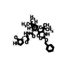 CC(C)(C)[C@H](NC(=O)OCc1ccccc1)C(=O)N1C[C@H]2[C@@H]([C@H]1C(=O)N[C@H](C=O)C[C@@H]1CCNC1=O)C2(C)C